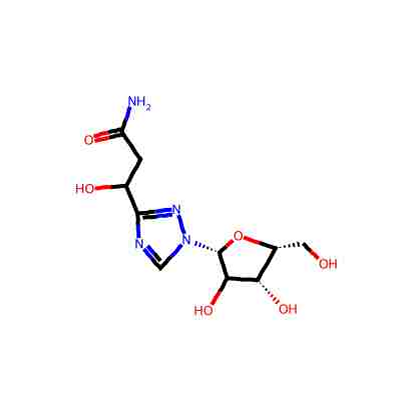 NC(=O)CC(O)c1ncn([C@@H]2O[C@H](CO)[C@H](O)C2O)n1